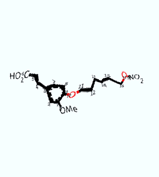 COc1cc(/C=C/C(=O)O)ccc1OCCCCCCO[N+](=O)[O-]